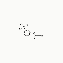 CC(C)(Br)C(=O)Oc1cccc([Si](Cl)(Cl)Cl)c1